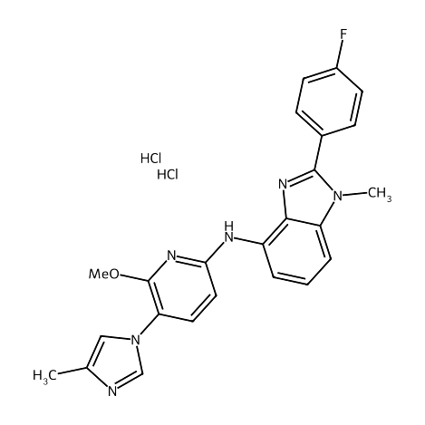 COc1nc(Nc2cccc3c2nc(-c2ccc(F)cc2)n3C)ccc1-n1cnc(C)c1.Cl.Cl